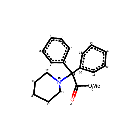 COC(=O)C(c1ccccc1)(c1ccccc1)N1CCCCC1